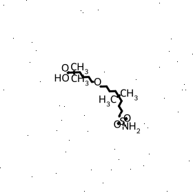 CC(C)(CCCCOCCCCC(C)(C)C(=O)O)CCCCS(N)(=O)=O